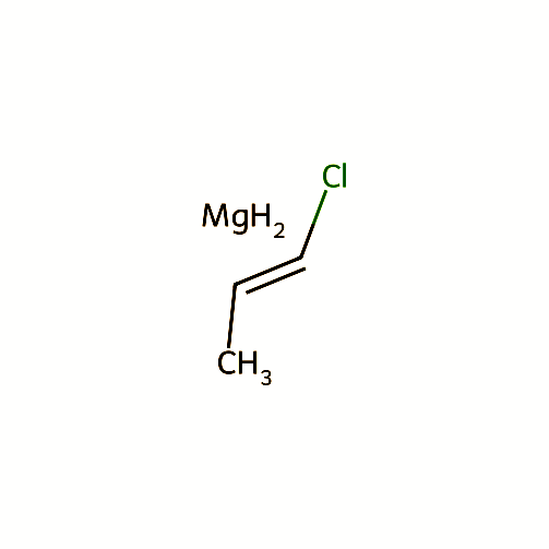 CC=CCl.[MgH2]